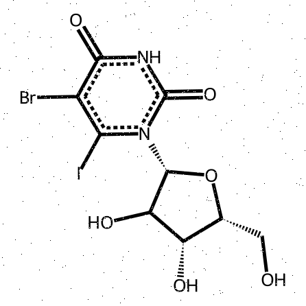 O=c1[nH]c(=O)n([C@@H]2O[C@H](CO)[C@H](O)C2O)c(I)c1Br